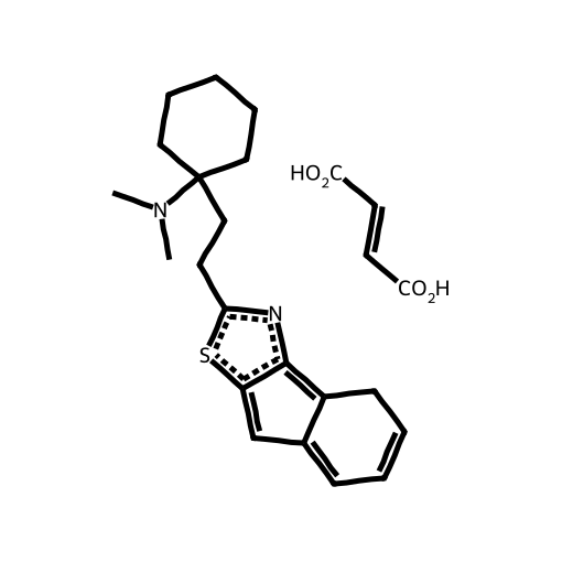 CN(C)C1(CCc2nc3c(s2)=CC2=CC=CCC=32)CCCCC1.O=C(O)C=CC(=O)O